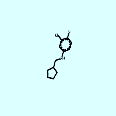 Clc1ccc(NCC2CCCC2)cc1Cl